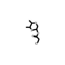 CC1OCC(OC(=O)CCl)SC1C